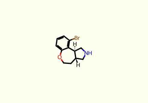 Brc1cccc2c1[C@H]1CNC[C@@H]1CCO2